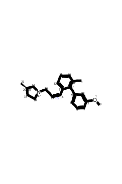 COc1cccc(-c2c(C)cccc2/C=C\CN2CC[C@@H](C)C2)c1